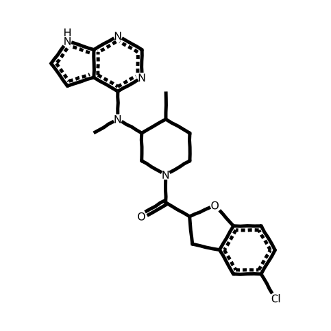 CC1CCN(C(=O)C2Cc3cc(Cl)ccc3O2)CC1N(C)c1ncnc2[nH]ccc12